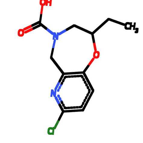 CCC1CN(C(=O)O)Cc2nc(Cl)ccc2O1